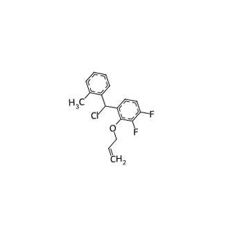 C=CCOc1c(C(Cl)c2ccccc2C)ccc(F)c1F